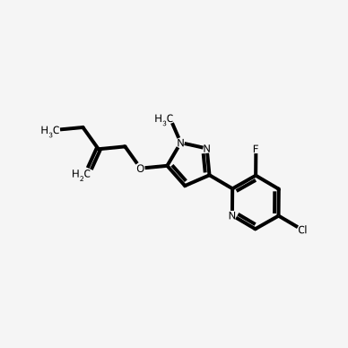 C=C(CC)COc1cc(-c2ncc(Cl)cc2F)nn1C